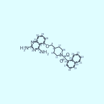 Nc1nc(N)c2c(OCC3CCN(S(=O)(=O)c4cccc5ccccc45)CC3)cccc2n1